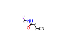 N#CCCC(=O)NCI